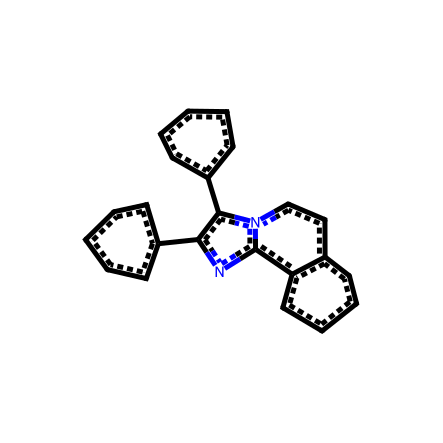 c1ccc(-c2nc3c4ccccc4ccn3c2-c2ccccc2)cc1